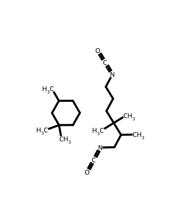 CC(CN=C=O)C(C)(C)CCCN=C=O.CC1CCCC(C)(C)C1